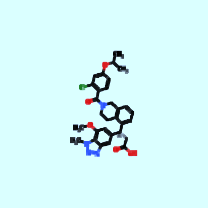 COc1cc([C@@H](CC(=O)O)c2cccc3c2CCN(C(=O)c2ccc(OC(C)C)cc2Cl)C3)cc2nnn(C)c12